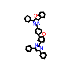 C1=CCCC(C2=NC(C3=CC4Oc5ccc(-c6nc(-c7ccccc7)cc(-c7ccccc7)n6)cc5C4C=C3)=NC3c4ccccc4OC23)=C1